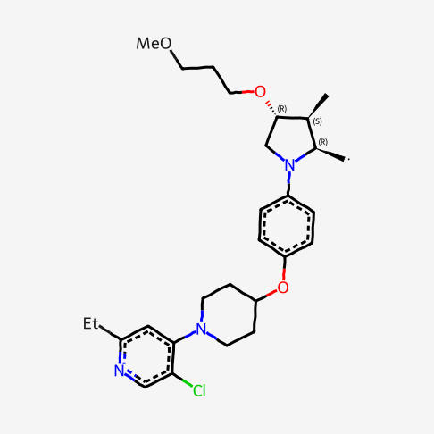 [CH2][C@@H]1[C@H](C)[C@@H](OCCCOC)CN1c1ccc(OC2CCN(c3cc(CC)ncc3Cl)CC2)cc1